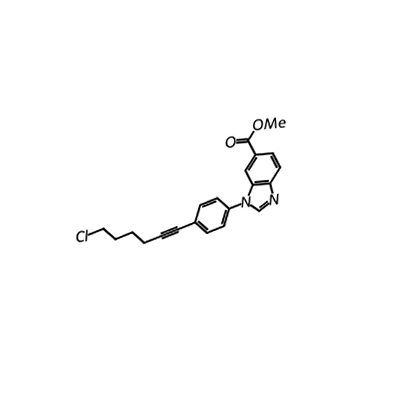 COC(=O)c1ccc2ncn(-c3ccc(C#CCCCCCl)cc3)c2c1